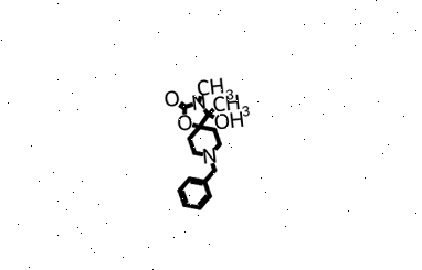 CN1C(=O)OC2(CCN(Cc3ccccc3)CC2)C1(C)O